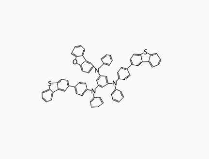 c1ccc(N(c2ccc(-c3ccc4sc5ccccc5c4c3)cc2)c2cc(N(c3ccccc3)c3ccc(-c4ccc5sc6ccccc6c5c4)cc3)cc(N(c3ccccc3)c3ccc4oc5ccccc5c4c3)c2)cc1